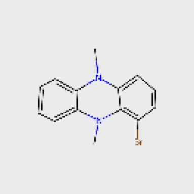 CN1c2ccccc2N(C)c2c(Br)cccc21